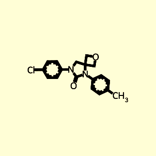 Cc1ccc(N2C(=O)N(c3ccc(Cl)cc3)CC23COC3)cc1